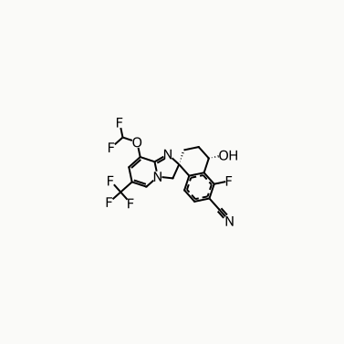 N#Cc1ccc2c(c1F)[C@@H](O)CC[C@@]21CN2C=C(C(F)(F)F)C=C(OC(F)F)C2=N1